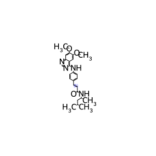 COc1cc2ncnc(Nc3ccc(/C=C/C(=O)NC(C)CC(C)C)cc3)c2cc1OC